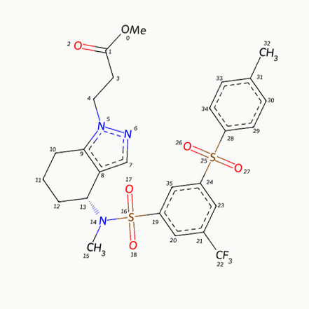 COC(=O)CCn1ncc2c1CCC[C@H]2N(C)S(=O)(=O)c1cc(C(F)(F)F)cc(S(=O)(=O)c2ccc(C)cc2)c1